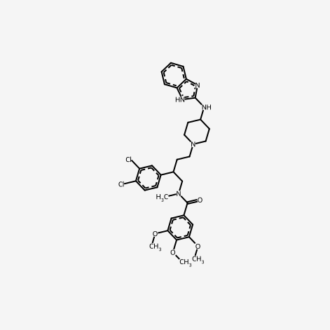 COc1cc(C(=O)N(C)CC(CCN2CCC(Nc3nc4ccccc4[nH]3)CC2)c2ccc(Cl)c(Cl)c2)cc(OC)c1OC